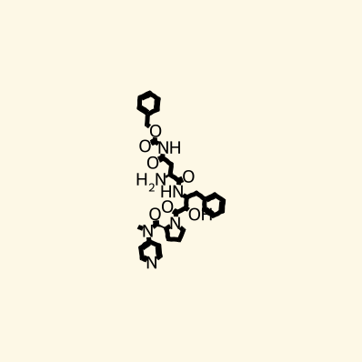 CN(C(=O)[C@@H]1CCCN1C(=O)C(O)C(Cc1ccccc1)NC(=O)[C@@H](N)CC(=O)NC(=O)OCc1ccccc1)c1ccncc1